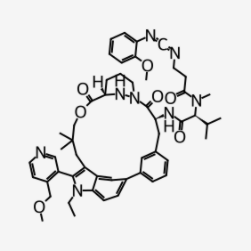 CCn1c(-c2cnccc2COC)c2c3cc(ccc31)-c1cccc(c1)C[C@H](NC(=O)[C@H](C(C)C)N(C)C(=O)CCN=C=Nc1ccccc1OC)C(=O)N1CCC[C@H](N1)C(=O)OCC(C)(C)C2